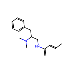 C=C(/C=C/C)NCC(Cc1ccccc1)N(C)C